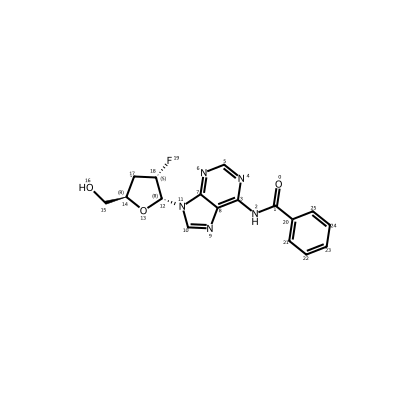 O=C(Nc1ncnc2c1ncn2[C@@H]1O[C@@H](CO)[CH][C@@H]1F)c1ccccc1